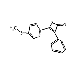 CSc1ccc(C2=C(c3ccccc3)C(=O)[C]2)cc1